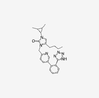 CCCCc1cn(C2C(C)C2C)c(=O)n1Cc1ccc(-c2ccccc2-c2nnn[nH]2)cn1